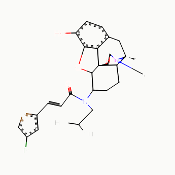 CC(C)CN(C(=O)/C=C/c1cc(Br)cs1)C1CC[C@@]2(O)[C@H]3Cc4ccc(O)c5c4[C@@]2(CCN3C)C1O5